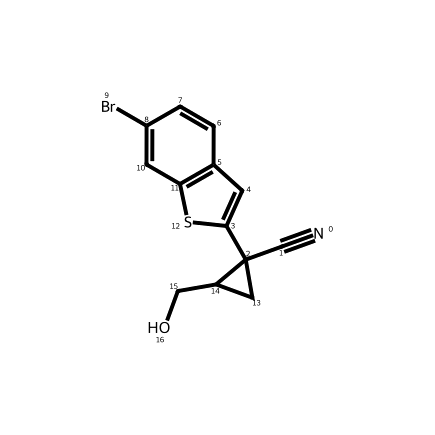 N#CC1(c2cc3ccc(Br)cc3s2)CC1CO